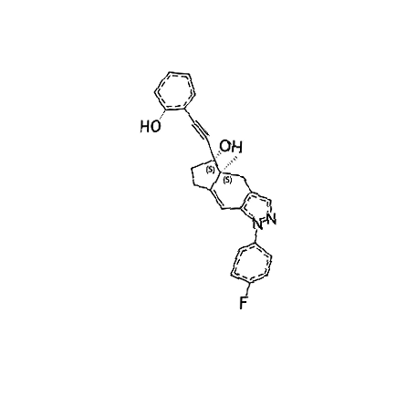 C[C@]12Cc3cnn(-c4ccc(F)cc4)c3C=C1CC[C@@]2(O)C#Cc1ccccc1O